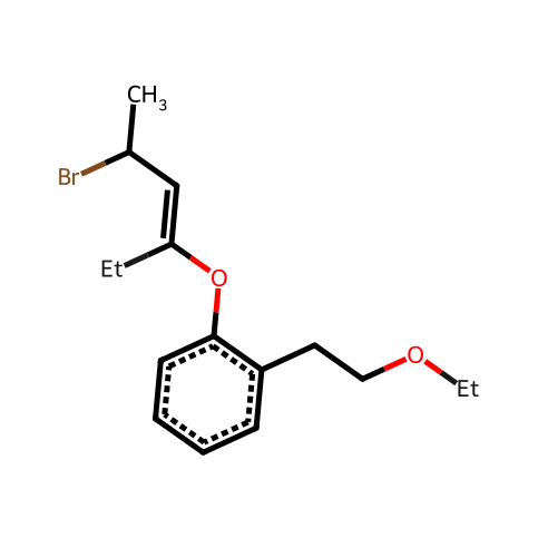 CCOCCc1ccccc1O/C(=C/C(C)Br)CC